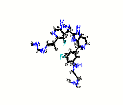 C=N/C=N\C=C(/C)c1ncc2[nH]nc(-c3nc4c(-c5cc(F)cc(NCCN(C)C)c5)nccc4[nH]3)c2c1F